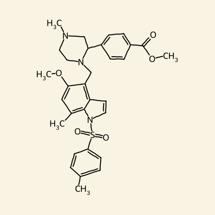 COC(=O)c1ccc(C2CN(C)CCN2Cc2c(OC)cc(C)c3c2ccn3S(=O)(=O)c2ccc(C)cc2)cc1